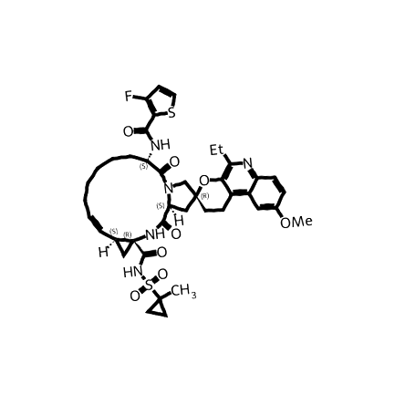 CCc1nc2ccc(OC)cc2c2c1O[C@]1(CC2)C[C@H]2C(=O)N[C@]3(C(=O)NS(=O)(=O)C4(C)CC4)C[C@H]3C=CCCCCC[C@H](NC(=O)c3sccc3F)C(=O)N2C1